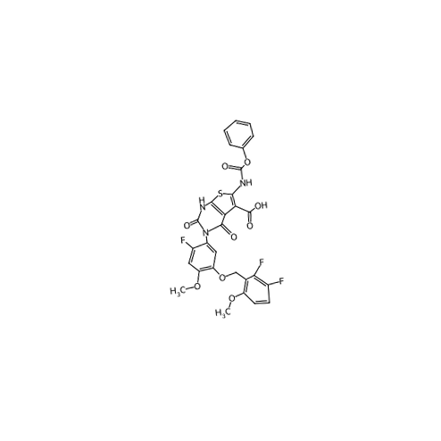 COc1cc(F)c(-n2c(=O)[nH]c3sc(NC(=O)Oc4ccccc4)c(C(=O)O)c3c2=O)cc1OCc1c(OC)ccc(F)c1F